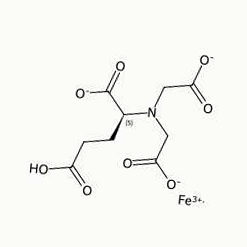 O=C([O-])CN(CC(=O)[O-])[C@@H](CCC(=O)O)C(=O)[O-].[Fe+3]